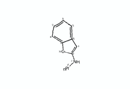 CCCNc1cc2ccccc2o1